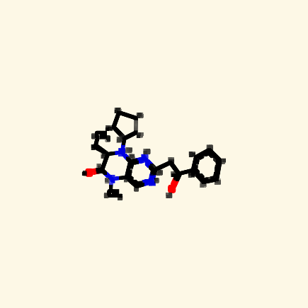 CC[C@@H]1C(=O)N(C)c2cnc(CC(=O)c3ccccc3)nc2N1C1CCCC1